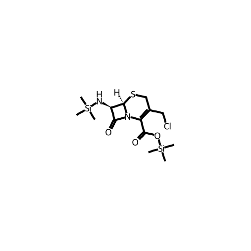 C[Si](C)(C)N[C@@H]1C(=O)N2C(C(=O)O[Si](C)(C)C)=C(CCl)CS[C@H]12